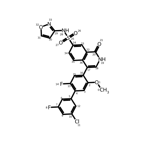 COc1cc(-c2cc(F)cc(Cl)c2)c(F)cc1-c1c[nH]c(=O)c2cc(S(=O)(=O)Nc3ccon3)ccc12